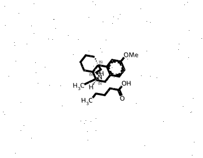 CCCCC(=O)O.COc1ccc2c(c1)[C@]13CCCC[C@@H]1[C@H](C2)N(C)CC3